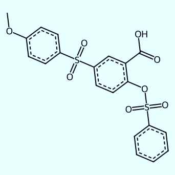 COc1ccc(S(=O)(=O)c2ccc(OS(=O)(=O)c3ccccc3)c(C(=O)O)c2)cc1